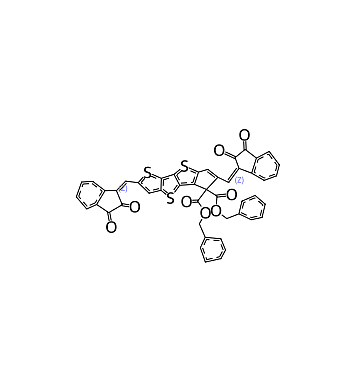 O=C1C(=O)c2ccccc2/C1=C/C1=Cc2sc3c(sc4cc(/C=C5\C(=O)C(=O)c6ccccc65)sc43)c2C1(C(=O)OCc1ccccc1)C(=O)OCc1ccccc1